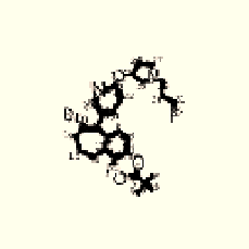 CC(C)(C)C(=O)Oc1ccc2c(c1F)CCCC(Br)=C2c1ccc(O[C@H]2CCN(CCCF)C2)nc1